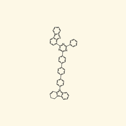 C1=Cc2c(c3ccccc3n2-c2ccc(-c3ccc(-c4ccc(-c5nc(-c6ccccc6)nc(-c6cccc7c6sc6ccccc67)n5)cc4)cc3)cc2)CC1